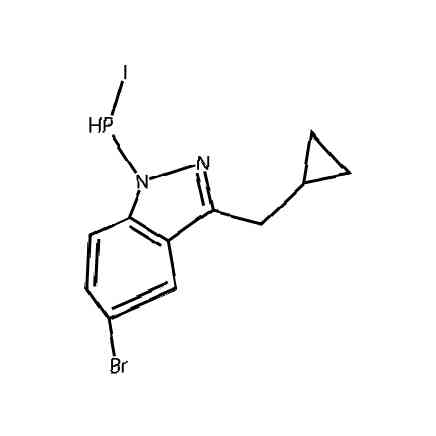 Brc1ccc2c(c1)c(CC1CC1)nn2PI